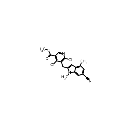 COC(=O)c1cnc(Cl)c(Cc2cc3c(C)cc(C#N)cc3n2C)c1Cl